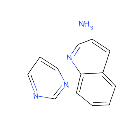 N.c1ccc2ncccc2c1.c1cncnc1